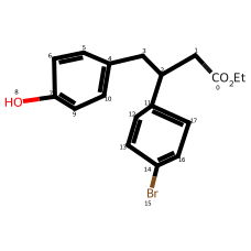 CCOC(=O)CC(Cc1ccc(O)cc1)c1ccc(Br)cc1